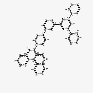 c1ccc(-c2nc(-c3cccc(-c4ccc(-c5nc6ccccc6c6c5ccc5ccccc56)cc4)c3)nc(-c3ccccn3)n2)nc1